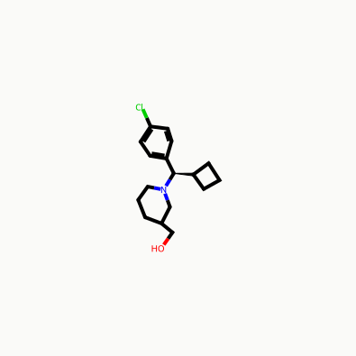 OCC1CCCN([C@@H](c2ccc(Cl)cc2)C2CCC2)C1